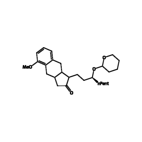 CCCCC[C@@H](CCC1C(=O)CC2Cc3c(cccc3OC)CC21)OC1CCCCO1